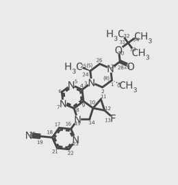 C[C@@H]1CN(c2ncnc3c2C2(CC2F)CN3c2cc(C#N)ccn2)[C@@H](C)CN1C(=O)OC(C)(C)C